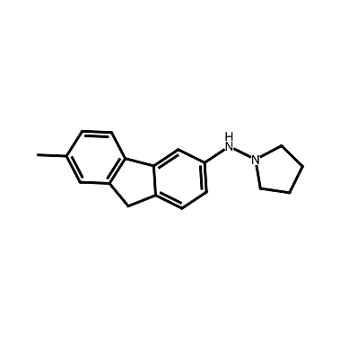 Cc1ccc2c(c1)Cc1ccc(NN3CCCC3)cc1-2